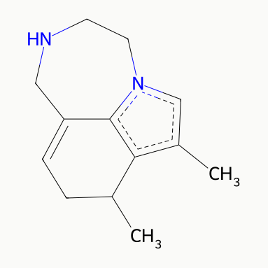 Cc1cn2c3c1C(C)CC=C3CNCC2